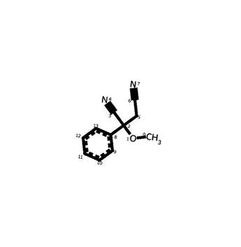 COC(C#N)(CC#N)c1ccccc1